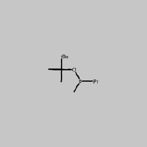 CB(OC(C)(C)C(C)(C)C)C(C)C